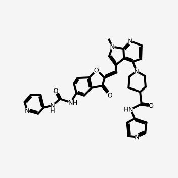 Cn1cc(C=C2Oc3ccc(NC(=O)Nc4cccnc4)cc3C2=O)c2c(N3CCC(C(=O)Nc4ccncc4)CC3)ccnc21